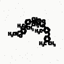 Cc1ccc(Cc2ccc(N3COc4ccc(C(C)(C)c5cccc(C(C)(C)c6ccc7c(c6)CN(C)CO7)c5)cc4C3)c(C)c2)cc1C